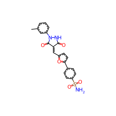 Cc1cccc(N2NC(=O)/C(=C\c3ccc(-c4ccc(S(N)(=O)=O)cc4)o3)C2=O)c1